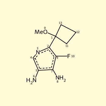 COC1(c2ncc(N)c(N)c2F)CCC1